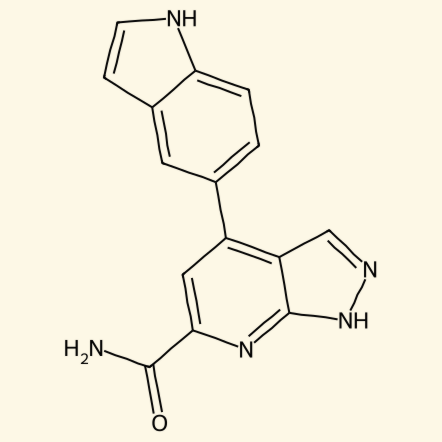 NC(=O)c1cc(-c2ccc3[nH]ccc3c2)c2cn[nH]c2n1